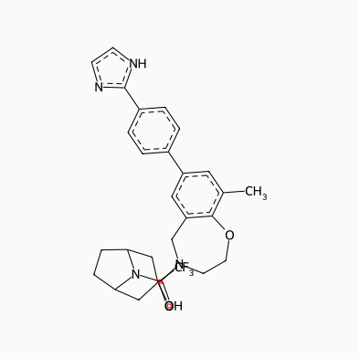 Cc1cc(-c2ccc(-c3ncc[nH]3)cc2)cc2c1OCCN(C(=O)N1C3CCC1CC(O)(C(F)(F)F)C3)C2